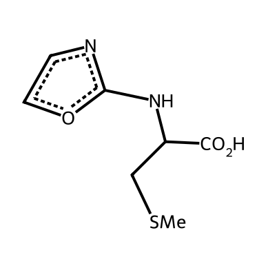 CSCC(Nc1ncco1)C(=O)O